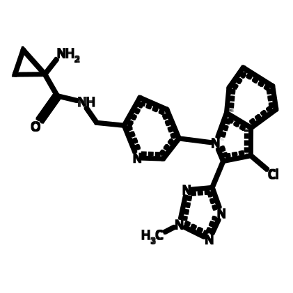 Cn1nnc(-c2c(Cl)c3ccccc3n2-c2ccc(CNC(=O)C3(N)CC3)nc2)n1